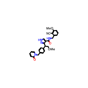 COCC(c1ccc(Cn2ccccc2=O)cc1)c1n[nH]cc1C(=O)NCc1cccc(OC)c1C#N